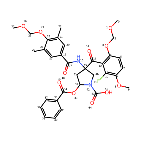 COCOc1ccc(OC)c(F)c1C(=O)C1(NC(=O)c2cc(C)c(OCOC)c(C)c2)CC(OC(=O)c2ccccc2)N(C(=O)O)C1